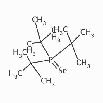 CC(C)(C)P(=[Se])(C(C)(C)C)C(C)(C)C